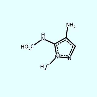 Cn1ncc(N)c1NC(=O)O